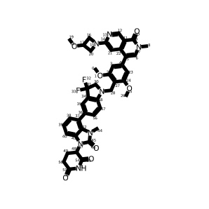 COc1cc(-c2cn(C)c(=O)c3cnc(N4CC(OC)C4)cc23)cc(OC)c1CN1CC(F)(F)c2cc(-c3cccc4c3n(C)c(=O)n4C3CCC(=O)NC3=O)ccc21